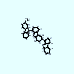 N#Cc1ccc2c3ccccc3n(-c3cccc4c3sc3ccc(-c5cccc6c5sc5ccccc56)cc34)c2c1